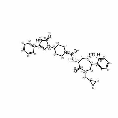 O=C(N[C@@H]1CN(C(=O)O)C(c2ccccc2)CN(CC2CC2)C1=O)N1CCC(n2cc(-c3ccccc3)[nH]c2=O)CC1